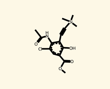 COC(=O)c1cc(Cl)c(NC(C)=O)c(C#C[Si](C)(C)C)c1O